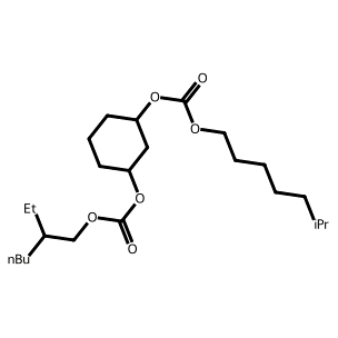 CCCCC(CC)COC(=O)OC1CCCC(OC(=O)OCCCCCC(C)C)C1